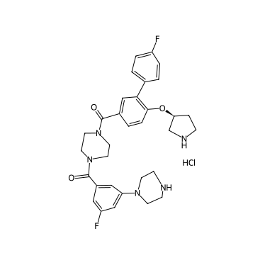 Cl.O=C(c1cc(F)cc(N2CCNCC2)c1)N1CCN(C(=O)c2ccc(O[C@H]3CCNC3)c(-c3ccc(F)cc3)c2)CC1